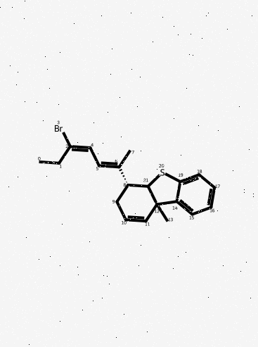 CC/C(Br)=C\C=C(/C)[C@H]1CC=CC2(C)c3ccccc3SC12